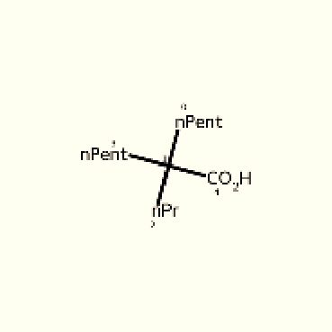 CCCCCC(CCC)(CCCCC)C(=O)O